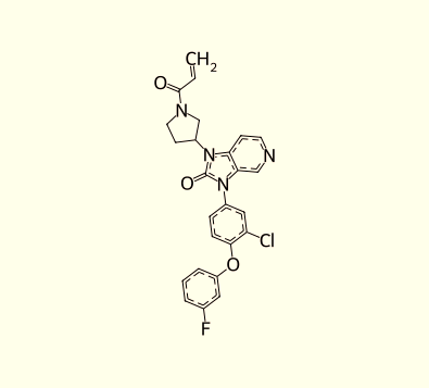 C=CC(=O)N1CCC(n2c(=O)n(-c3ccc(Oc4cccc(F)c4)c(Cl)c3)c3cnccc32)C1